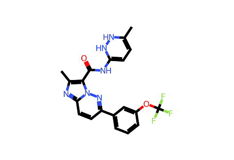 CC1=CC=C(NC(=O)c2c(C)nc3ccc(-c4cccc(OC(F)(F)F)c4)nn23)NN1